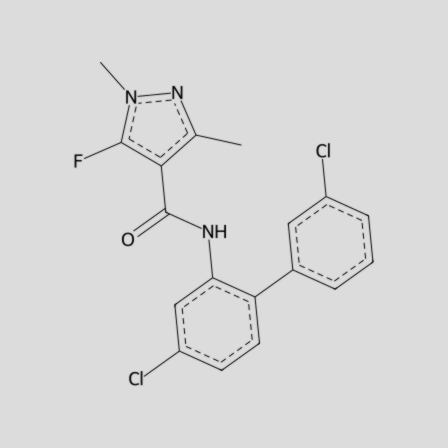 Cc1nn(C)c(F)c1C(=O)Nc1cc(Cl)ccc1-c1cccc(Cl)c1